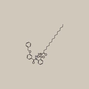 CCCCCCCCCCCCCCCC(=O)NS(=O)(=O)c1ccccc1NC(=O)c1cccc(OCc2ccccc2)c1